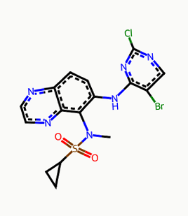 CN(c1c(Nc2nc(Cl)ncc2Br)ccc2nccnc12)S(=O)(=O)C1CC1